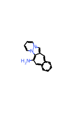 NC1=C2C(=CN3C=CC=CN23)C=c2ccccc2=C1